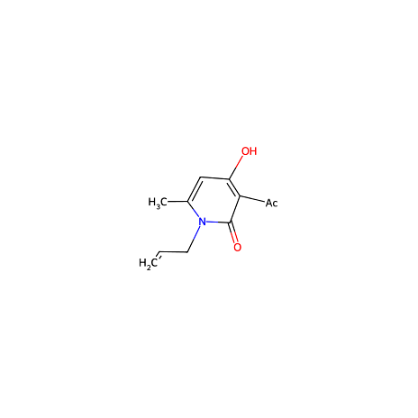 C=CCn1c(C)cc(O)c(C(C)=O)c1=O